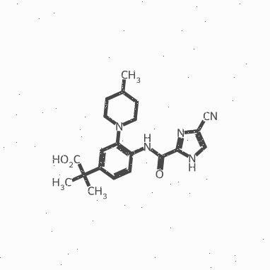 CC1CCN(c2cc(C(C)(C)C(=O)O)ccc2NC(=O)c2nc(C#N)c[nH]2)CC1